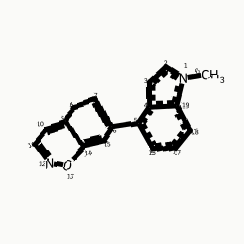 Cn1[c]cc2c(C3=CCC4=CC=NOC4=C3)cccc21